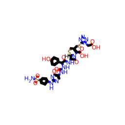 NS(=O)(=O)c1ccc(Nc2ncc(NC(=O)NC(C(=O)NC3C(=O)N4C(C(=O)O)=C(CSc5nnnn5CC(=O)O)CS[C@@H]34)c3ccc(O)cc3)c(O)n2)cc1